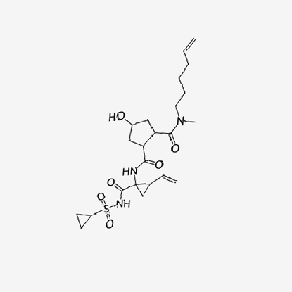 C=CCCCCN(C)C(=O)C1CC(O)CC1C(=O)NC1(C(=O)NS(=O)(=O)C2CC2)CC1C=C